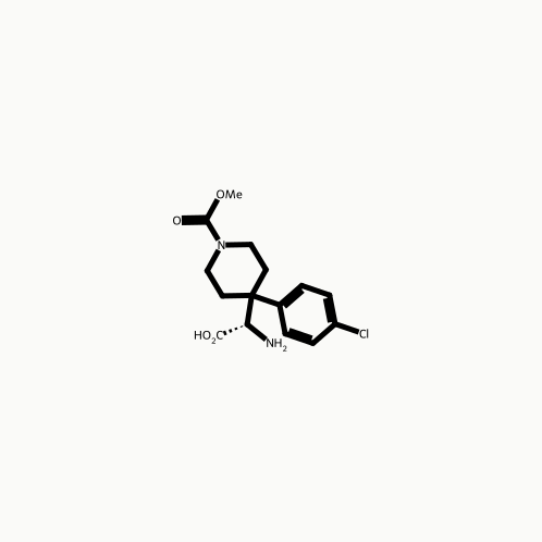 COC(=O)N1CCC(c2ccc(Cl)cc2)([C@H](N)C(=O)O)CC1